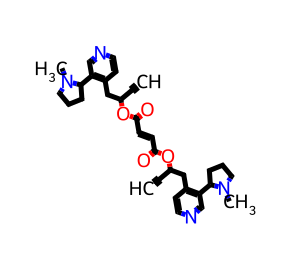 C#CC(Cc1ccncc1C1CCCN1C)OC(=O)/C=C/C(=O)OC(C#C)Cc1ccncc1C1CCCN1C